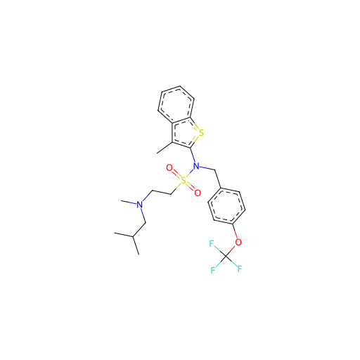 Cc1c(N(Cc2ccc(OC(F)(F)F)cc2)S(=O)(=O)CCN(C)CC(C)C)sc2ccccc12